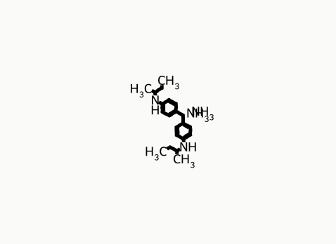 CCC(C)Nc1ccc(Cc2ccc(NC(C)CC)cc2)cc1.N.N